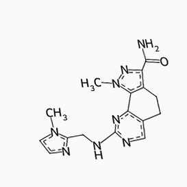 Cn1ccnc1CNc1ncc2c(n1)-c1c(c(C(N)=O)nn1C)CC2